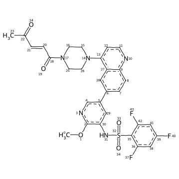 COc1ncc(-c2ccc3nccc(N4CCN(C(=O)C=CC(C)=O)CC4)c3c2)cc1NS(=O)(=O)c1c(F)cc(F)cc1F